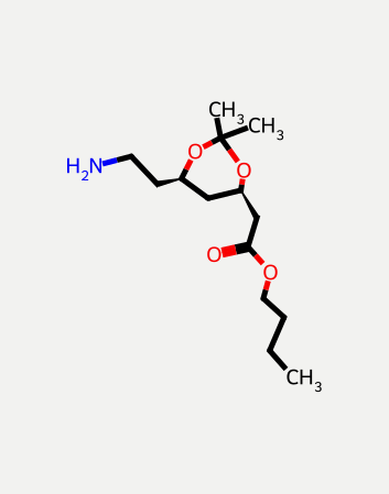 CCCCOC(=O)C[C@H]1C[C@@H](CCN)OC(C)(C)O1